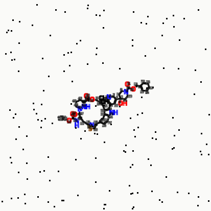 CC(C)c1ncc(C2(O)CCN(C(=O)OCc3ccccc3)CC2)cc1-c1[nH]c2ccc3cc2c1CC(C)(C)COC(=O)[C@@H]1CCCN(N1)C(=O)[C@@H](NC(=O)OC(C)(C)C)Cc1nc-3cs1